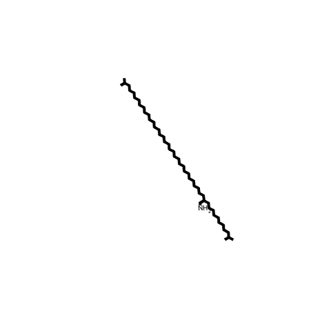 CC(C)CCCCCCCCCCCCCCCCCCCCCCCCCCCCCCCC(CN)CCCCCCCCCC(C)C